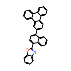 c1ccc2oc(-c3ccc(-c4ccc5c6ccccc6c6ccccc6c5c4)c4ccccc34)nc2c1